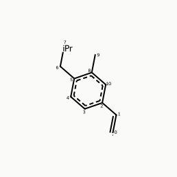 [CH]=Cc1ccc(CC(C)C)c(C)c1